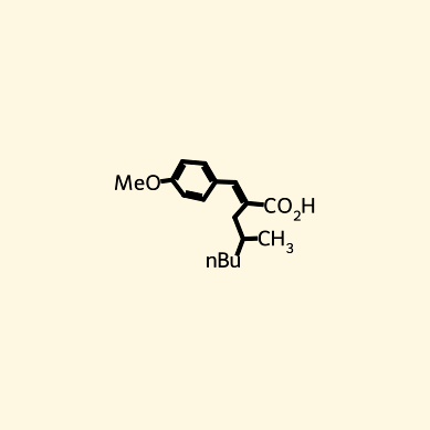 CCCCC(C)CC(=Cc1ccc(OC)cc1)C(=O)O